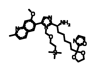 COc1cc2nc(C)ccc2cc1-c1cnc([C@@H](N)CCCCCC2(c3ncco3)OCCO2)n1COCC[Si](C)(C)C